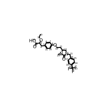 CCOC(Cc1ccc(OCCC2CN(Cc3ccc(C(F)(F)F)cc3)C(=O)N2C)cc1)C(=O)O